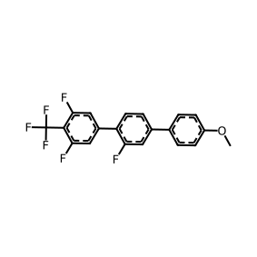 COc1ccc(-c2ccc(-c3cc(F)c(C(F)(F)F)c(F)c3)c(F)c2)cc1